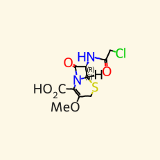 COC1=C(C(=O)O)N2C(=O)[C@@H](NC(=O)CCl)[C@@H]2SC1